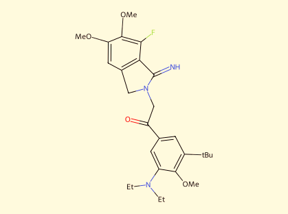 CCN(CC)c1cc(C(=O)CN2Cc3cc(OC)c(OC)c(F)c3C2=N)cc(C(C)(C)C)c1OC